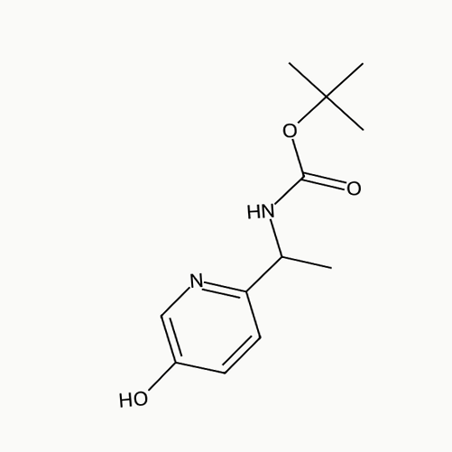 CC(NC(=O)OC(C)(C)C)c1ccc(O)cn1